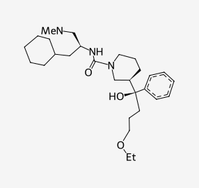 CCOCCC[C@@](O)(c1ccccc1)[C@@H]1CCCN(C(=O)N[C@H](CNC)CC2CCCCC2)C1